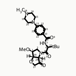 CO[C@H]1CN(C(=O)C(NC(=O)c2ccc(N3CCN(C)CC3)cc2)C(C)(C)C)[C@@H]2C(=O)CO[C@H]12